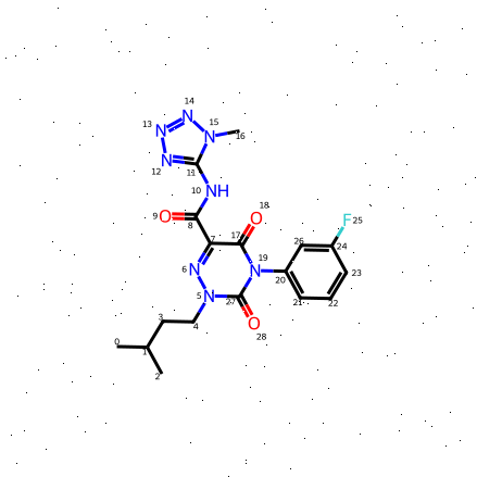 CC(C)CCn1nc(C(=O)Nc2nnnn2C)c(=O)n(-c2cccc(F)c2)c1=O